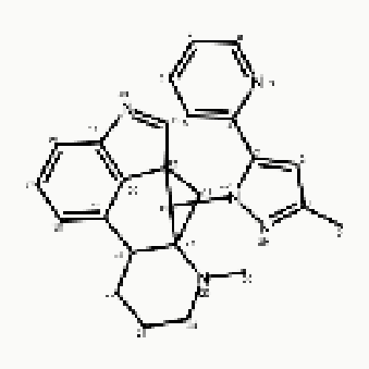 Cc1cc(-c2ccccn2)n(C2C34C=Nc5cccc(c53)C3CCCN(C)C32C4)n1